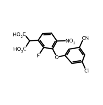 N#Cc1cc(Cl)cc(Oc2c([N+](=O)[O-])ccc(C(C(=O)O)C(=O)O)c2F)c1